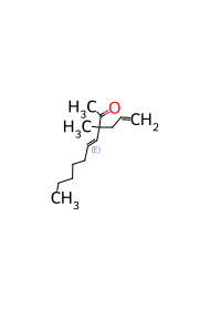 C=CCC(C)(/C=C/CCCCC)C(C)=O